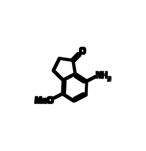 COc1ccc(N)c2c1CCC2=O